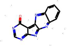 O=C1N=CN=C2N=c3nc4ccccc4nc3=C12